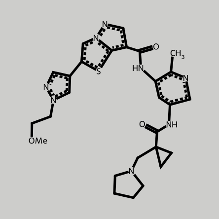 COCCn1cc(-c2cn3ncc(C(=O)Nc4cc(NC(=O)C5(CN6CCCC6)CC5)cnc4C)c3s2)cn1